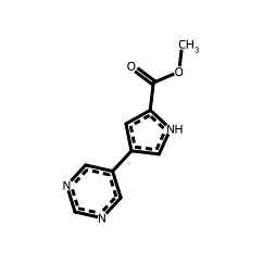 COC(=O)c1cc(-c2cncnc2)c[nH]1